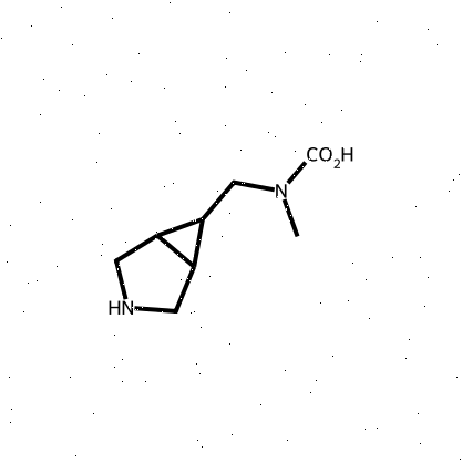 CN(CC1C2CNCC21)C(=O)O